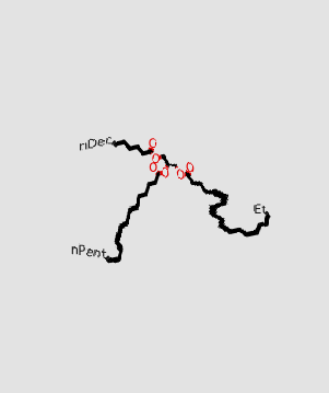 CC/C=C\C/C=C\C/C=C\C/C=C\C/C=C\CCCC(=O)OC[C@H](COC(=O)CCCCCCCCCCCCCCC)OC(=O)CCCCCCC/C=C\C/C=C\CCCCC